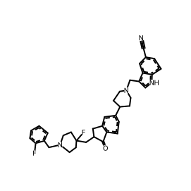 N#Cc1ccc2[nH]cc(CN3CCC(c4ccc5c(c4)CC(CC4(F)CCN(Cc6ccccc6F)CC4)C5=O)CC3)c2c1